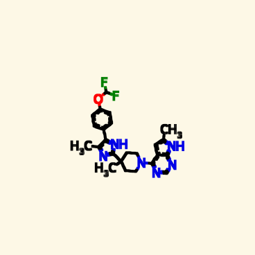 Cc1cc2c(N3CCC(C)(c4nc(C)c(-c5ccc(OC(F)F)cc5)[nH]4)CC3)ncnc2[nH]1